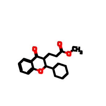 COC(=O)CCC1C(=O)c2ccccc2OC1C1CCCCC1